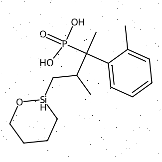 Cc1ccccc1C(C)(C(C)C[SiH]1CCCCO1)P(=O)(O)O